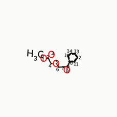 COC(=O)COCC1OC1c1ccccc1